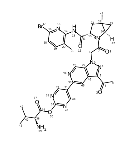 CC(=O)c1nn(CC(=O)N2[C@H](C(=O)Nc3nc(Br)ccc3C)C[C@@]3(C)C[C@@H]23)c2cnc(-c3cnc(OC(=O)[C@@H](N)C(C)C)nc3)cc12